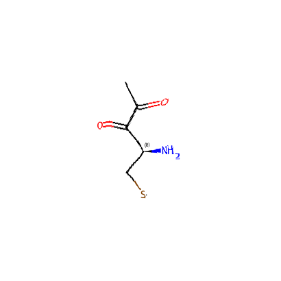 CC(=O)C(=O)[C@@H](N)C[S]